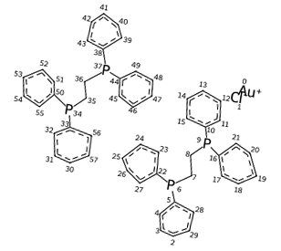 [Au+].[Cl-].c1ccc(P(CCP(c2ccccc2)c2ccccc2)c2ccccc2)cc1.c1ccc(P(CCP(c2ccccc2)c2ccccc2)c2ccccc2)cc1